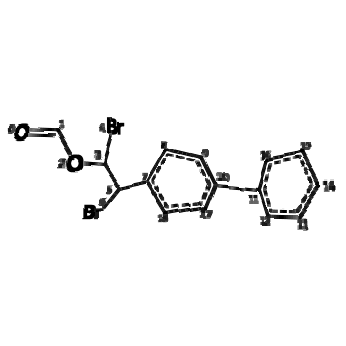 O=COC(Br)C(Br)c1ccc(-c2ccccc2)cc1